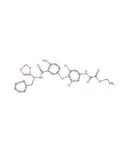 CCOC(=O)C(=O)Nc1cc(Cl)c(Oc2ccc(O)c(C(=O)NC(Cc3ccccc3)C3=COCO3)c2)c(Cl)c1